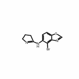 Brc1c(NC2=NCCC2)ccc2scnc12